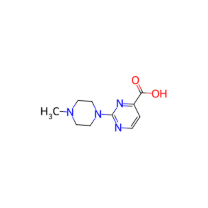 CN1CCN(c2nccc(C(=O)O)n2)CC1